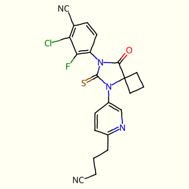 N#CCCCc1ccc(N2C(=S)N(c3ccc(C#N)c(Cl)c3F)C(=O)C23CCC3)cn1